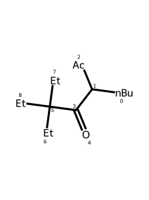 CCCCC(C(C)=O)C(=O)C(CC)(CC)CC